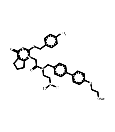 CCN(CC)CCN(Cc1ccc(-c2ccc(OCCOC)cc2)cc1)C(=O)Cn1c(SCc2ccc(C)cc2)nc(=O)c2c1CCC2